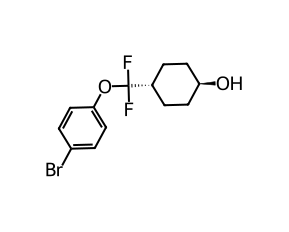 O[C@H]1CC[C@H](C(F)(F)Oc2ccc(Br)cc2)CC1